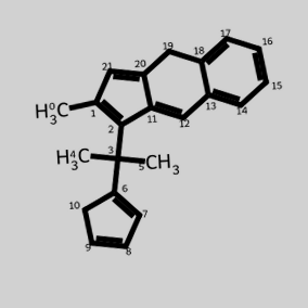 CC1=C(C(C)(C)C2=CC=CC2)C2=Cc3ccccc3CC2=C1